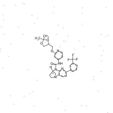 CC1(C)OCC(COc2cc(NC(=O)N3c4nc(-c5cccc(C(F)(F)F)c5)ccc4N4CC[C@H]3C4)ccn2)O1